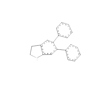 c1ccc(-c2cc3c(cc2-c2ccccc2)NCC3)cc1